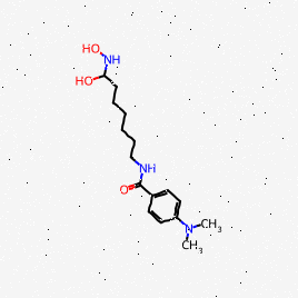 CN(C)c1ccc(C(=O)NCCCCCCC(O)NO)cc1